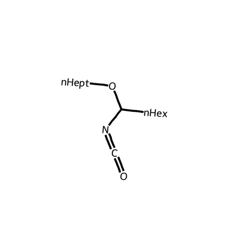 CCCCCCCOC(CCCCCC)N=C=O